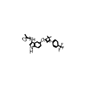 CC(=O)Nc1c[nH]c2ccc(O[C@H]3C[C@@H](c4ccc(C(F)(F)F)cc4)C3(C)C)cc12